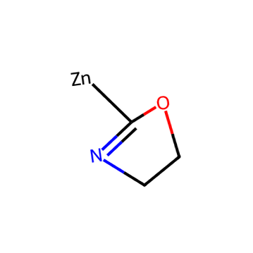 [Zn][C]1=NCCO1